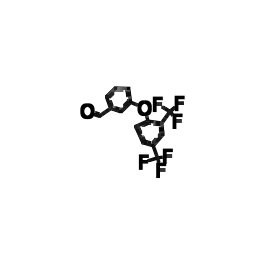 O=Cc1cccc(Oc2ccc(C(F)(F)F)cc2C(F)(F)F)c1